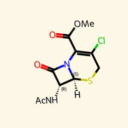 COC(=O)C1=C(Cl)CS[C@H]2[C@H](NC(C)=O)C(=O)N12